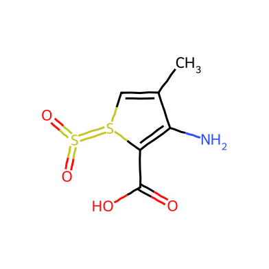 CC1=CS(=S(=O)=O)C(C(=O)O)=C1N